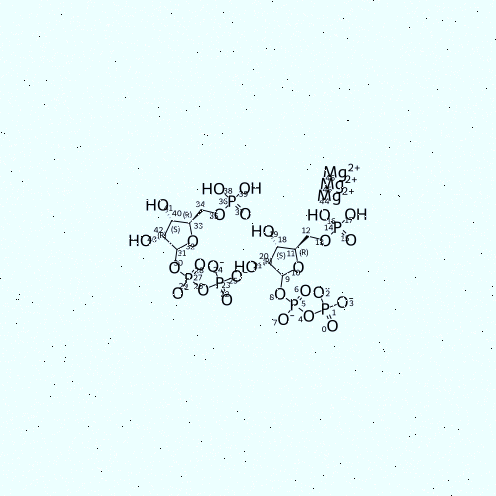 O=P([O-])([O-])OP(=O)([O-])OC1O[C@H](COP(=O)(O)O)[C@@H](O)[C@H]1O.O=P([O-])([O-])OP(=O)([O-])OC1O[C@H](COP(=O)(O)O)[C@@H](O)[C@H]1O.[Mg+2].[Mg+2].[Mg+2]